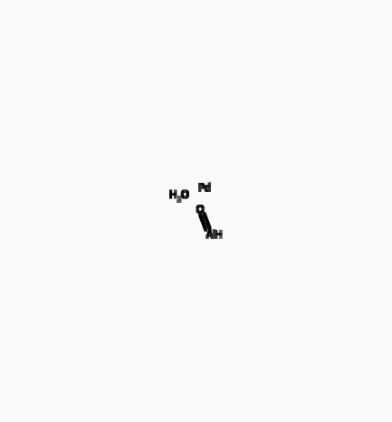 O.[O]=[AlH].[Pd]